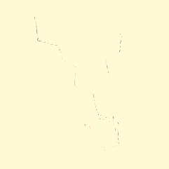 CCCCCCC(CCCCC)c1ncccc1C